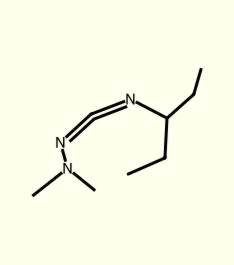 CCC(CC)N=C=NN(C)C